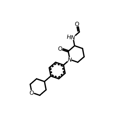 O=CNC1CCCN(c2ccc(C3CCOCC3)cc2)C1=O